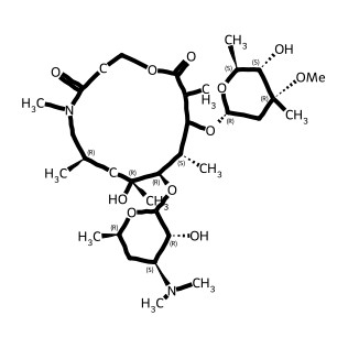 CO[C@]1(C)C[C@H](OC2C(C)C(=O)OCCC(=O)N(C)C[C@H](C)C[C@@](C)(O)[C@H](OC3O[C@H](C)C[C@H](N(C)C)[C@H]3O)[C@H]2C)O[C@@H](C)[C@@H]1O